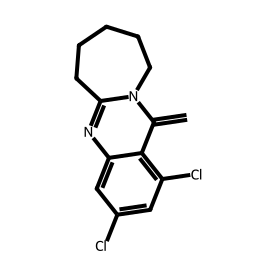 C=C1c2c(Cl)cc(Cl)cc2N=C2CCCCCN12